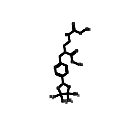 CC(C)(C)OC(=O)NCCN(Cc1ccc(B2OC(C)(C)C(C)(C)O2)cn1)C(=O)OC(C)(C)C